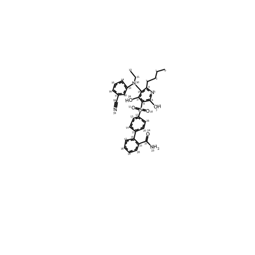 CCCCc1nc(O)c(S(=O)(=O)c2ccc(-c3ccccc3C(N)=O)cc2)c(O)c1N(CC)c1cccc(C#N)c1